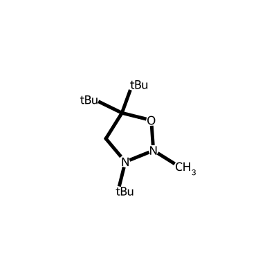 CN1OC(C(C)(C)C)(C(C)(C)C)CN1C(C)(C)C